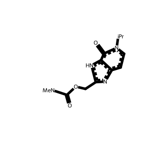 CNC(=O)OCc1nc2ccn(C(C)C)c(=O)c2[nH]1